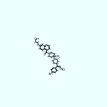 CCON=C(c1ccc(Br)cc1)C1CCN(C2(C)CCN(C(=O)c3ccnc4cc(OCCO)ccc34)CC2)CC1